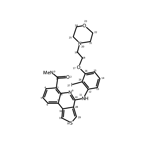 CNC(=O)c1cccc2c1nc(Nc1cccc(OCCN3CCOCC3)c1I)c1cscc12